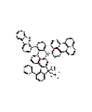 CC1(C)c2cc(N(c3ccc(-c4cccc5cccc(-c6ccccc6)c45)cc3)c3cccc(-c4cccc5c4sc4ccccc45)c3-c3ccccc3)ccc2-c2c(-c3ccccc3)cccc21